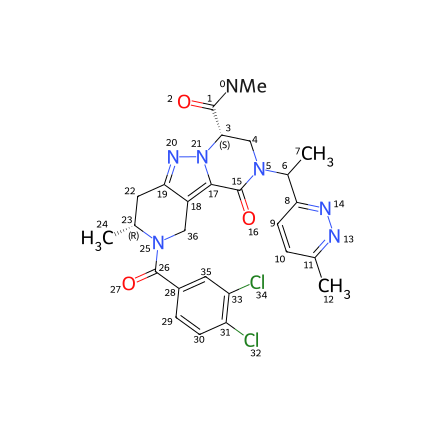 CNC(=O)[C@@H]1CN(C(C)c2ccc(C)nn2)C(=O)c2c3c(nn21)C[C@@H](C)N(C(=O)c1ccc(Cl)c(Cl)c1)C3